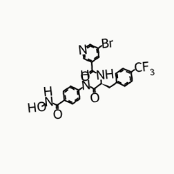 O=C(NO)c1ccc(NC(=O)[C@H](Cc2ccc(C(F)(F)F)cc2)NC(=O)c2cncc(Br)c2)cc1